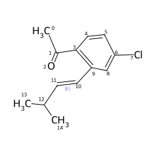 CC(=O)c1ccc(Cl)cc1/C=C/C(C)C